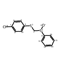 [O-][S+](CSc1ccc(Cl)cc1)c1ccccc1